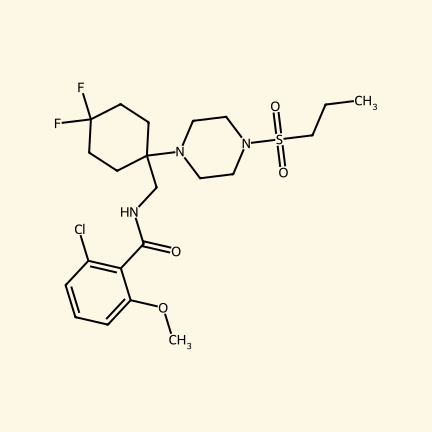 CCCS(=O)(=O)N1CCN(C2(CNC(=O)c3c(Cl)cccc3OC)CCC(F)(F)CC2)CC1